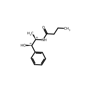 CCCC(=O)N[C@H](C)[C@H](O)c1ccccc1